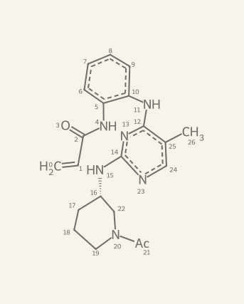 C=CC(=O)Nc1ccccc1Nc1nc(N[C@H]2CCCN(C(C)=O)C2)ncc1C